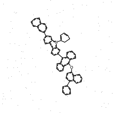 C1=CCCC(n2c3cc(-c4ccc5ccccc5c4)ccc3c3ccc(-c4c5ccccc5c(Oc5ccc(-c6ccccc6)c6ccccc56)c5ccccc45)cc32)=C1